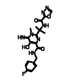 Cn1c(C(C)(C)NC(=O)c2nnco2)nc(C(=O)NCc2ccc(F)cc2)c(O)c1=N